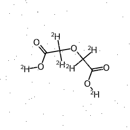 [2H]OC(=O)C([2H])([2H])OC([2H])([2H])C(=O)O[2H]